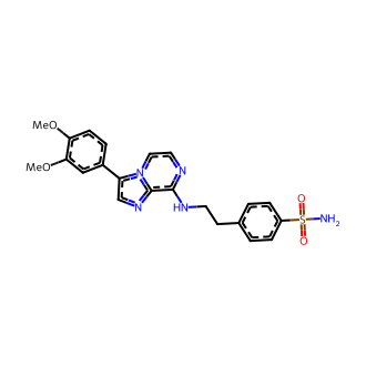 COc1ccc(-c2cnc3c(NCCc4ccc(S(N)(=O)=O)cc4)nccn23)cc1OC